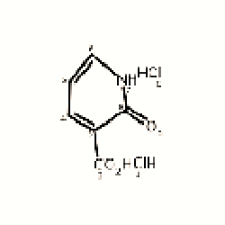 Cl.Cl.O=C(O)c1ccc[nH]c1=O